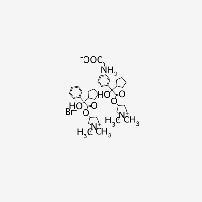 C[N+]1(C)CCC(OC(=O)C(O)(c2ccccc2)C2CCCC2)C1.C[N+]1(C)CCC(OC(=O)C(O)(c2ccccc2)C2CCCC2)C1.NCC(=O)[O-].[Br-]